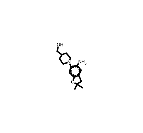 CC1(C)Cc2cc(N)c(N3CCC(CO)CC3)cc2O1